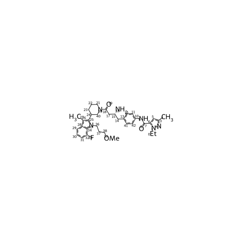 CCn1nc(C)cc1C(=O)Nc1ccc(C[C@@H](N)CC(=O)N2CCCC(c3c(C)c4cccc(F)c4n3CCCOC)C2)cc1